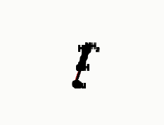 CC(C)(C)OC(=O)CCCCCCCCCCCCCCCCC(=O)NCCOCCOCCOCCOCCOCCOCC(=O)NCCN